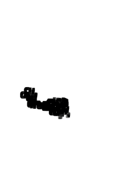 CC[C@@]12C[C@@](C)(O)[C@](O)(c3ccccn3)C[C@H]1CCc1cc(OCc3noc(CNC(C)=O)n3)ccc12